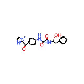 Cn1ccnc1C(=O)c1ccc(NC(=O)C(=O)N[C@H](CO)Cc2ccccc2)cc1